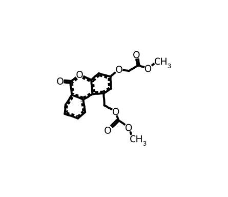 COC(=O)COc1cc(COC(=O)OC)c2c(c1)oc(=O)c1ccccc12